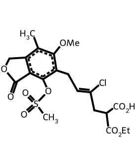 CCOC(=O)C(CC(Cl)=CCc1c(OC)c(C)c2c(c1OS(C)(=O)=O)C(=O)OC2)C(=O)O